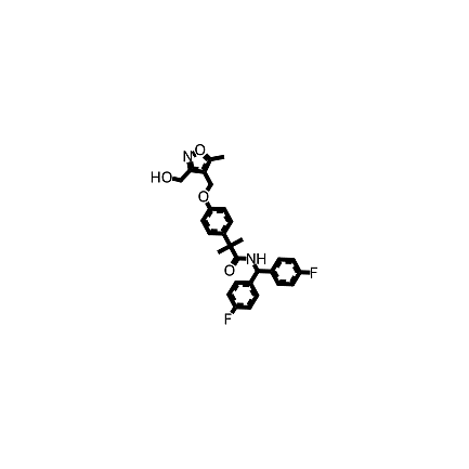 Cc1onc(CO)c1COc1ccc(C(C)(C)C(=O)NC(c2ccc(F)cc2)c2ccc(F)cc2)cc1